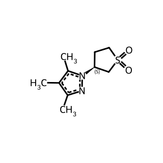 Cc1nn([C@H]2CCS(=O)(=O)C2)c(C)c1C